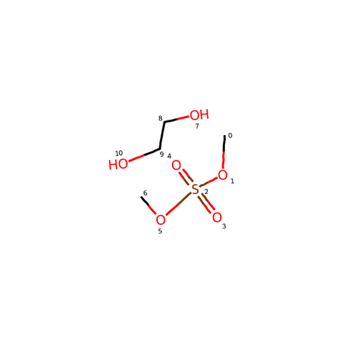 COS(=O)(=O)OC.OCCO